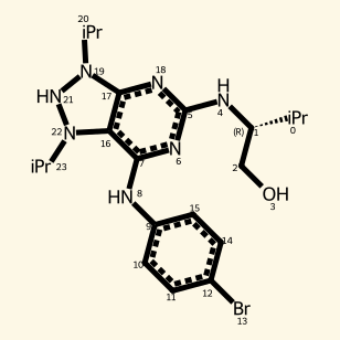 CC(C)[C@H](CO)Nc1nc(Nc2ccc(Br)cc2)c2c(n1)N(C(C)C)NN2C(C)C